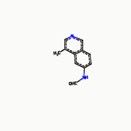 Cc1cncc2ccc(NC=O)cc12